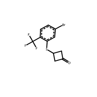 O=C1CC(Sc2cc(Br)ccc2C(F)(F)F)C1